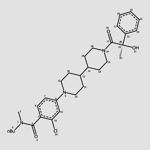 CCCCN(C)C(=O)c1ccc(N2CCC(C3CCN(C(=O)[C@](C)(O)c4ccccc4)CC3)CC2)cc1Cl